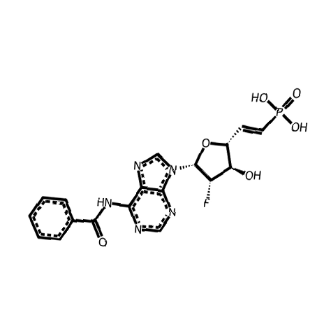 O=C(Nc1ncnc2c1ncn2[C@@H]1O[C@H](/C=C/P(=O)(O)O)[C@@H](O)[C@@H]1F)c1ccccc1